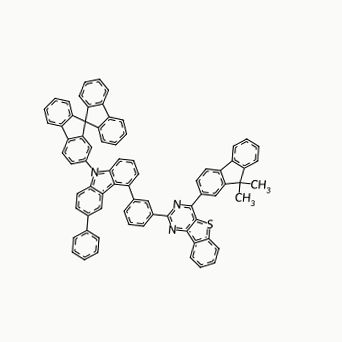 CC1(C)c2ccccc2-c2ccc(-c3nc(-c4cccc(-c5cccc6c5c5cc(-c7ccccc7)ccc5n6-c5ccc6c(c5)C5(c7ccccc7-c7ccccc75)c5ccccc5-6)c4)nc4c3sc3ccccc34)cc21